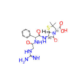 CC1(C)S[C@@H]2[C@H](NC(=O)C(NC(=O)CNC(=N)N)c3ccccc3)C(=O)N2[C@H]1C(=O)O